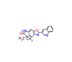 CC1(C)C(=O)Nc2cc3oc(-c4cnc5ccccc5c4)nc3cc21